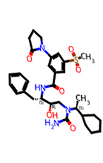 C[C@@H](C1CCCCC1)N(C[C@@H](O)[C@H](Cc1ccccc1)NC(=O)c1cc(N2CCCC2=O)cc(S(C)(=O)=O)c1)C(N)=O